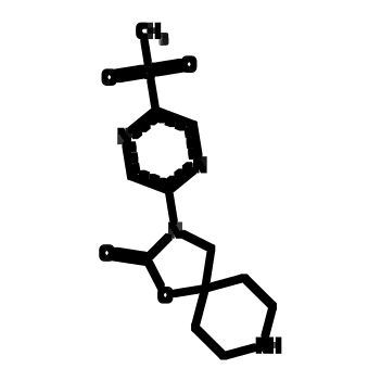 CS(=O)(=O)c1cnc(N2CC3(CCNCC3)OC2=O)cn1